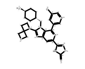 C[C@H]1CC[C@H](Cn2c(N3CCC34COC4)nc3cc(-c4noc(=O)[nH]4)nc(-c4cncc(Cl)c4)c32)CC1